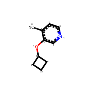 N#Cc1ccncc1OC1CCC1